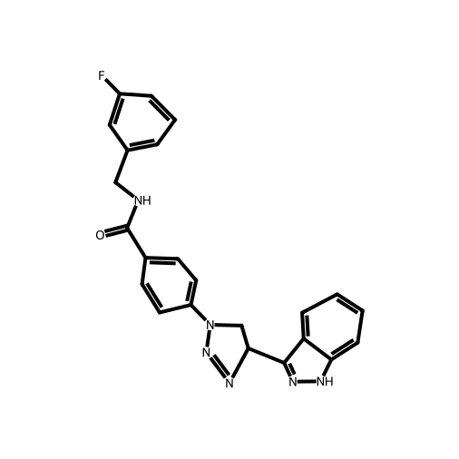 O=C(NCc1cccc(F)c1)c1ccc(N2CC(c3n[nH]c4ccccc34)N=N2)cc1